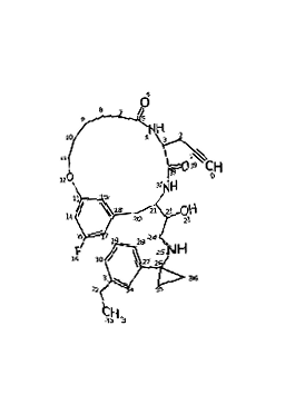 C#CCC1NC(=O)CCCCCOc2cc(F)cc(c2)CC(C(O)CNC2(c3cccc(CC)c3)CC2)NC1=O